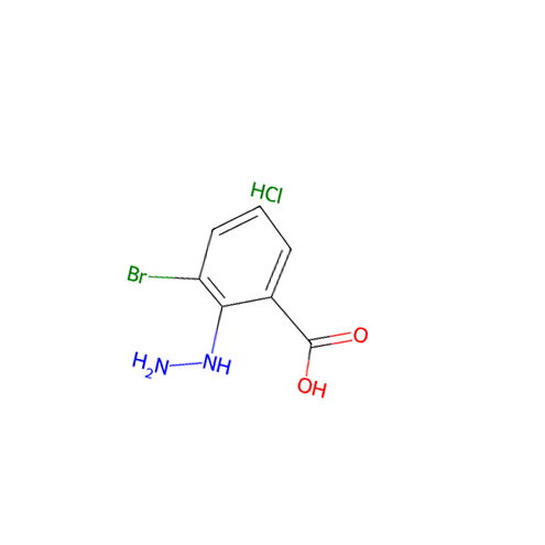 Cl.NNc1c(Br)cccc1C(=O)O